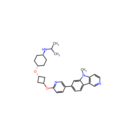 CC(C)N[C@H]1CC[C@H](O[C@H]2C[C@H](Oc3ccc(-c4ccc5c6cnccc6n(C)c5c4)cn3)C2)CC1